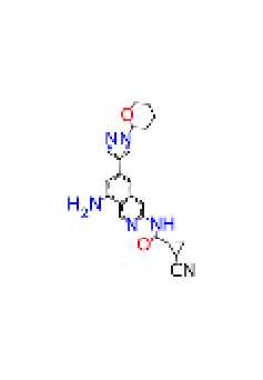 N#CC1CC1C(=O)Nc1cc2cc(-c3cnn(C4CCCCO4)c3)cc(N)c2cn1